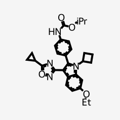 CCOc1ccc2c(-c3noc(C4CC4)n3)c(-c3ccc(NC(=O)OC(C)C)cc3)n(C3CCC3)c2c1